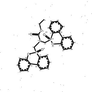 CCOC(=O)N(CP1(=O)Oc2ccccc2-c2ccccc21)CP1(=O)Oc2ccccc2-c2ccccc21